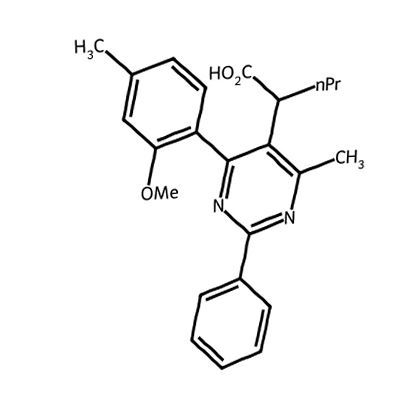 CCCC(C(=O)O)c1c(C)nc(-c2ccccc2)nc1-c1ccc(C)cc1OC